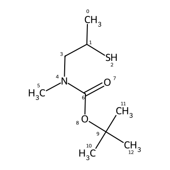 CC(S)CN(C)C(=O)OC(C)(C)C